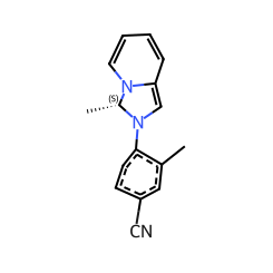 Cc1cc(C#N)ccc1N1C=C2C=CC=CN2[C@H]1C